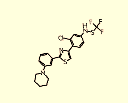 FC(F)(F)SNc1ccc(-c2csc(-c3cccc(N4CCCCC4)c3)n2)c(Cl)c1